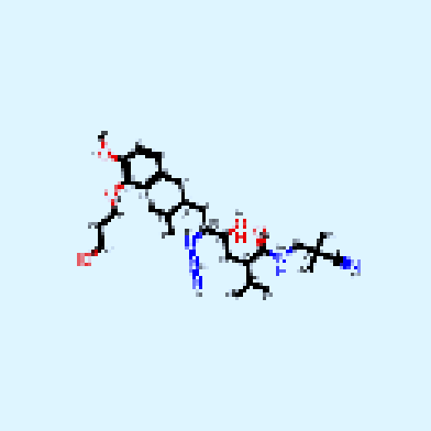 COc1ccc(C[C@@H](C[C@H](N=[N+]=[N-])[C@@H](O)CC(C(=O)NCC(C)(C)C#N)C(C)C)C(C)C)cc1OCCCO